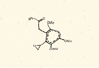 COc1cc(OC)c(OC)c(C2CO2)c1CC(=O)C(C)C